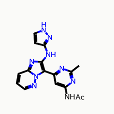 CC(=O)Nc1cc(-c2c(Nc3cc[nH]n3)nc3cccnn23)nc(C)n1